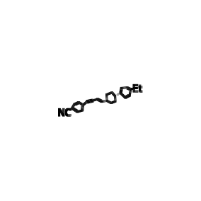 CCc1ccc([C@H]2CC[C@H](C=CC#Cc3ccc(C#N)cc3)CC2)cc1